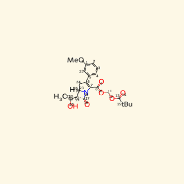 COc1cccc(C2=C(C(=O)OCOC(=O)C(C)(C)C)N3C(=O)[C@H]([C@@H](C)O)[C@H]3C2)c1